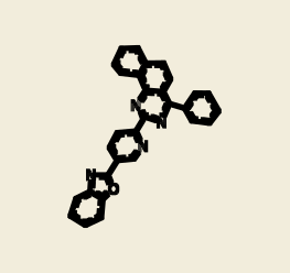 c1ccc(-c2nc(-c3ccc(-c4nc5ccccc5o4)cn3)nc3c2ccc2ccccc23)cc1